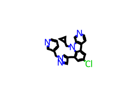 Clc1cc(-c2cnn(Cc3cccnc3)c2)c2c(c1)c1ccncc1n2CC1CC1